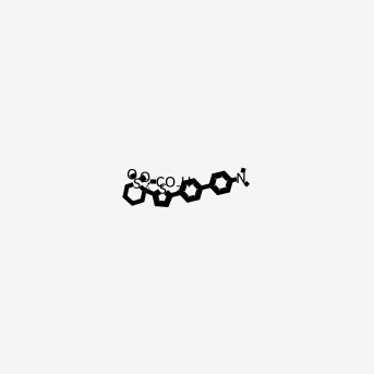 CN(C)c1ccc(-c2ccc(-c3ccc([C@@]4(CC(=O)O)CCCCS4(=O)=O)s3)cc2)cc1